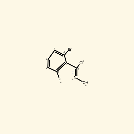 O/N=C(\Cl)c1c(F)cccc1Br